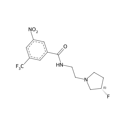 O=C(NCCN1CC[C@H](F)C1)c1cc([N+](=O)[O-])cc(C(F)(F)F)c1